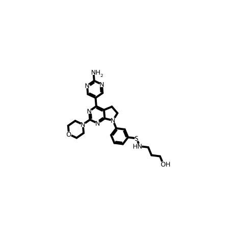 Nc1ncc(-c2nc(N3CCOCC3)nc3c2CCN3c2cccc(SNCCCO)c2)cn1